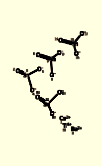 [Ba+2].[Ca+2].[O]=[Sn]([O-])[O-].[O]=[Sn]([O-])[O-].[O]=[Sn]([O-])[O-].[O]=[Sn]([O-])[O-].[Ti+4]